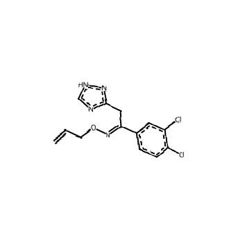 C=CCON=C(Cc1nc[nH]n1)c1ccc(Cl)c(Cl)c1